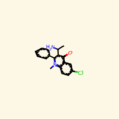 CC(N)c1c(-c2ccccc2)n(C)c2ccc(Cl)cc2c1=O